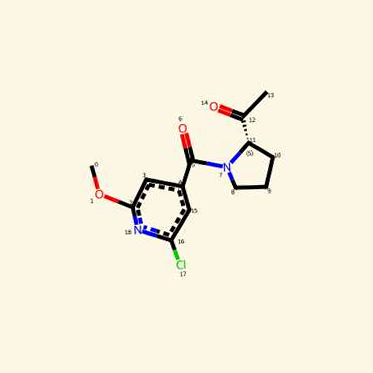 COc1cc(C(=O)N2CCC[C@H]2C(C)=O)cc(Cl)n1